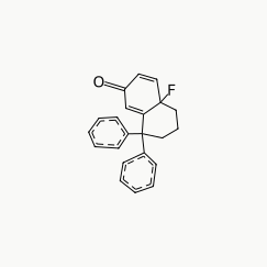 O=C1C=CC2(F)CCCC(c3ccccc3)(c3ccccc3)C2=C1